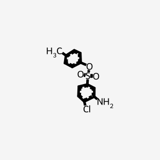 Cc1ccc(OS(=O)(=O)c2ccc(Cl)c(N)c2)cc1